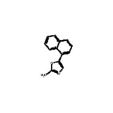 Nc1ncc(-c2cccc3ccccc23)o1